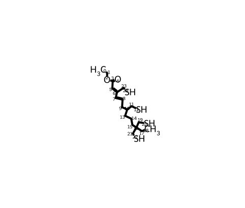 CCOC(=O)C=C(C=CCC(CS)CCCC(CC)(CS)CS)CS